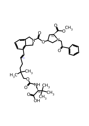 COC(=O)[C@@H]1CC(OC(=O)N2Cc3cccc(/C=C/CCC(C)(C)COC(=O)N[C@H](C(=O)O)C(C)(C)C)c3C2)CN1CC(=O)c1ccccc1